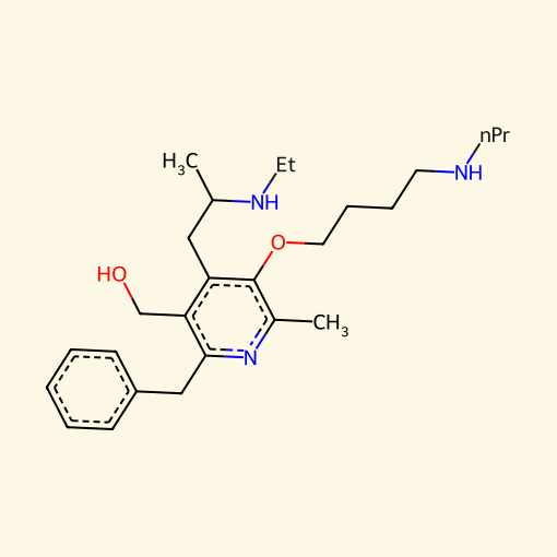 CCCNCCCCOc1c(C)nc(Cc2ccccc2)c(CO)c1CC(C)NCC